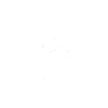 C[Si](C)(C)O[Si](O[Si](C)(C)C)(O[Si](C)(C)C)C1CCCCO1